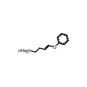 CCCCCCCCCC=COc1ccccc1